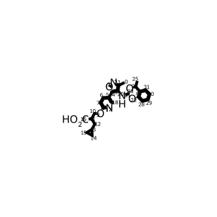 Cc1noc(-c2ccc(OCC(CC3CC3)C(=O)O)nc2)c1NC(=O)OC(C)c1ccccc1